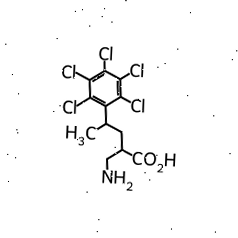 CC(CC(CN)C(=O)O)c1c(Cl)c(Cl)c(Cl)c(Cl)c1Cl